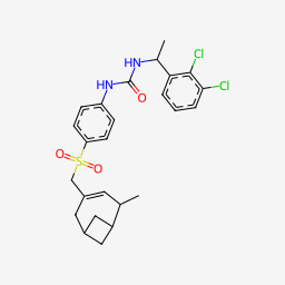 CC(NC(=O)Nc1ccc(S(=O)(=O)CC2=CC(C)C3CC(C2)C3)cc1)c1cccc(Cl)c1Cl